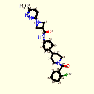 Cc1ccc(N2CC(C(=O)Nc3ccc(C4CCN(C(=O)c5ccccc5F)CC4)cc3)C2)nn1